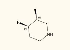 C[C@H]1CNCC[C@H]1F